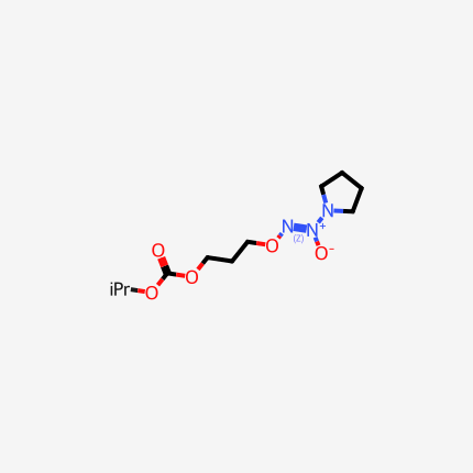 CC(C)OC(=O)OCCCO/N=[N+](\[O-])N1CCCC1